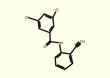 C#Cc1ccccc1NC(=O)c1cc(Cl)cc(Cl)c1